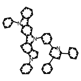 c1ccc(-c2cc(-c3ccccc3)nc(-c3cccc(-n4c5cc6c7ccccc7n(-c7ccccc7)c6cc5c5ccc6c(ccn6-c6ccccc6)c54)c3)c2)cc1